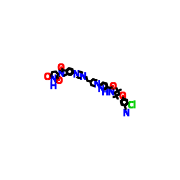 CC1(C)C(NC(=O)c2ccc(N3CCC(CCN4CCN(c5ccc6c(c5)CN(C5CCC(=O)NC5=O)C6=O)CC4)CC3)nc2)C(C)(C)C1Oc1ccc(C#N)c(Cl)c1